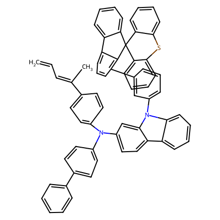 C=C/C=C(\C)c1ccc(N(c2ccc(-c3ccccc3)cc2)c2ccc3c4ccccc4n(-c4cccc(-c5cccc6c5C5(c7ccccc7Sc7ccccc75)c5ccccc5-6)c4)c3c2)cc1